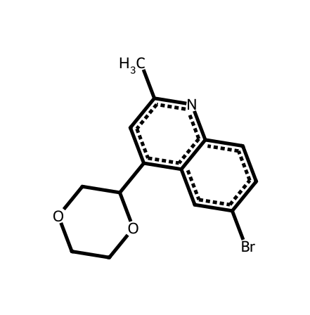 Cc1cc(C2COCCO2)c2cc(Br)ccc2n1